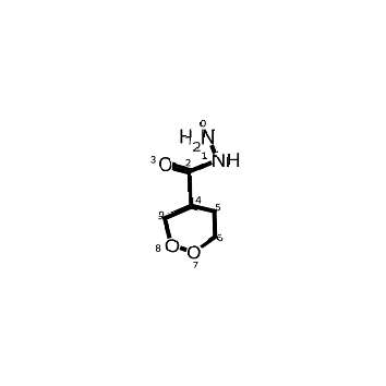 NNC(=O)C1CCOOC1